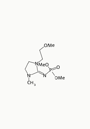 COCCN1CCN(C)/C1=N/P(=O)(OC)OC